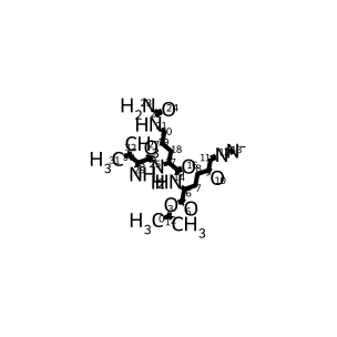 CC(C)OC(=O)C(CCC(=O)C=[N+]=[N-])NC(=O)C(CCCNC(N)=O)NC(=O)C(N)C(C)C